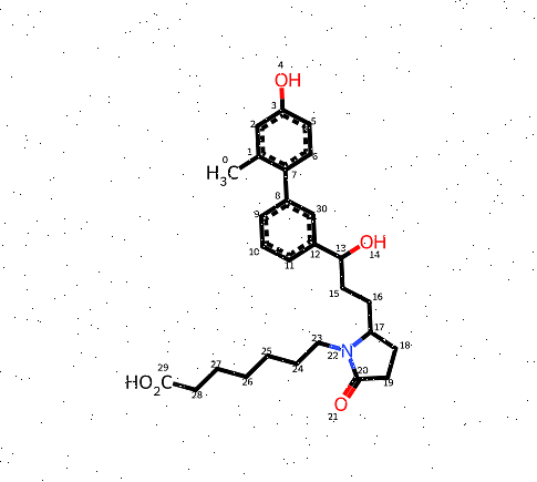 Cc1cc(O)ccc1-c1cccc(C(O)CCC2CCC(=O)N2CCCCCCC(=O)O)c1